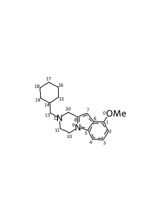 COc1cccc2c1cc1n2CCN(CC2CCCCC2)C1